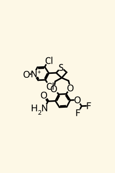 NC(=O)c1ccc(OC(F)F)c2c1OCC1(CO2)CSC1c1c(Cl)c[n+]([O-])cc1Cl